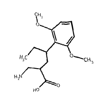 CCC(CC(CN)C(=O)O)c1c(OC)cccc1OC